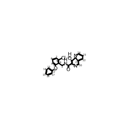 O=C(NCc1c(Cl)cccc1Oc1ccccc1)c1ncc2cccnc2c1O